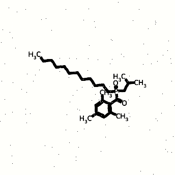 CCCCCCCCCCCCP(=O)(CC(C)C)C(=O)c1c(C)cc(C)cc1C